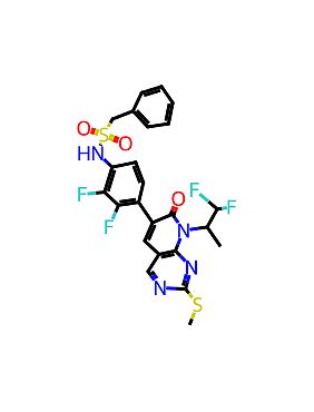 CSc1ncc2cc(-c3ccc(NS(=O)(=O)Cc4ccccc4)c(F)c3F)c(=O)n(C(C)C(F)F)c2n1